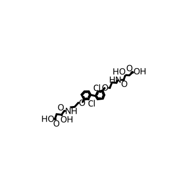 O=C(O)CC(O)C(=O)NCCCOc1cccc(-c2cccc(OCCCNC(=O)C(O)CC(=O)O)c2Cl)c1Cl